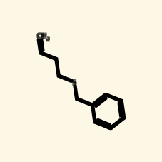 C=CCCSCc1ccccc1